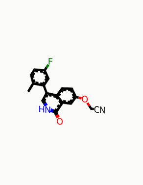 Cc1ccc(F)cc1-c1c[nH]c(=O)c2cc(OCC#N)ccc12